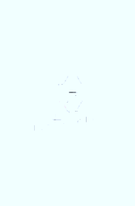 C/C=C/C(=O)C([C]=O)=Cc1ccccc1